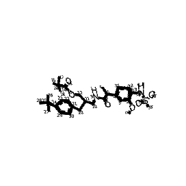 COc1cc(C(C)C(=O)NCC(COC(=O)C(C)(C)C)Cc2ccc(C(C)(C)C)cc2)ccc1NS(C)(=O)=O